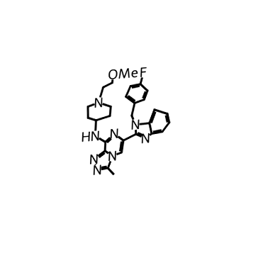 COCCN1CCC(Nc2nc(-c3nc4ccccc4n3Cc3ccc(F)cc3)cn3c(C)nnc23)CC1